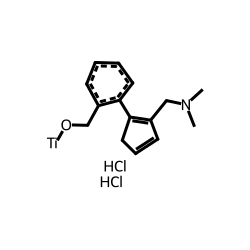 CN(C)CC1=C(c2ccccc2C[O][Ti])CC=C1.Cl.Cl